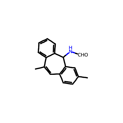 CC1=Cc2ccc(C)cc2C(NC=O)c2ccccc21